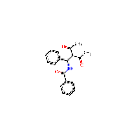 CC(=O)C(C(C)=O)C(NC(=O)c1ccccc1)c1ccccc1